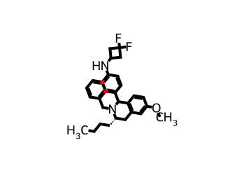 CCCC[C@H]1Cc2cc(OC)ccc2C(c2ccc(NC3CC(F)(F)C3)cc2)N1Cc1ccccc1